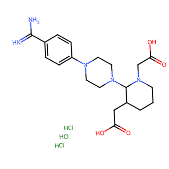 Cl.Cl.Cl.N=C(N)c1ccc(N2CCN(C3C(CC(=O)O)CCCN3CC(=O)O)CC2)cc1